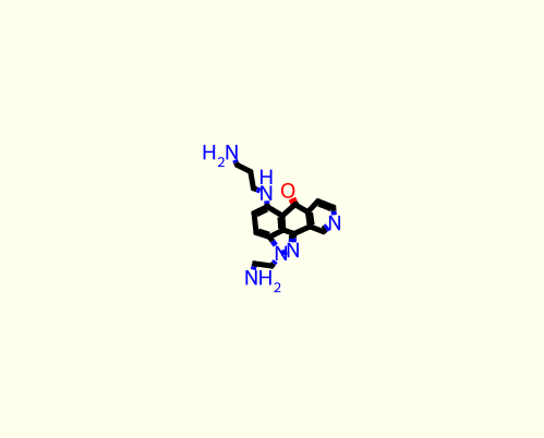 NCCCNc1ccc2c3c(nn2CCN)-c2cnccc2C(=O)c13